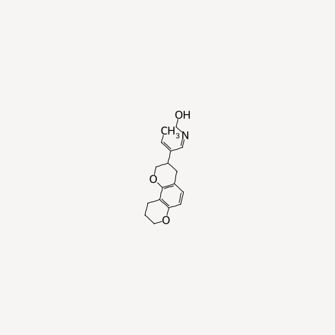 C/C=C(\C=N/CO)C1COc2c(ccc3c2CCCO3)C1